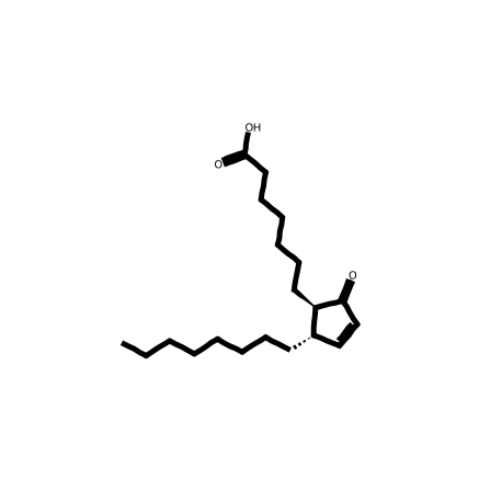 CCCCCCCC[C@H]1C=CC(=O)[C@@H]1CCCCCCC(=O)O